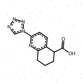 O=C(O)C1CCCc2nc(-n3cnnn3)ccc21